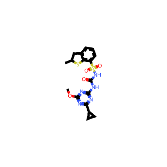 COc1nc(NC(=O)NS(=O)(=O)c2cccc3c2SC(C)C3)nc(C2CC2)n1